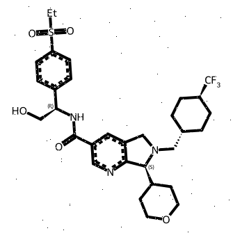 CCS(=O)(=O)c1ccc([C@H](CO)NC(=O)c2cnc3c(c2)CN(C[C@H]2CC[C@H](C(F)(F)F)CC2)[C@H]3C2CCOCC2)cc1